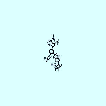 C[C@@](O)(C(=O)N1C[C@H](F)[C@H](NC(=O)c2cc(-c3cc(C(F)(F)F)c4c(N)ncnn34)ccc2OCC(F)(F)F)C1)C(F)(F)F